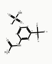 CS(=O)(=O)O.NC(=O)Nc1cccc(C(F)(F)F)c1